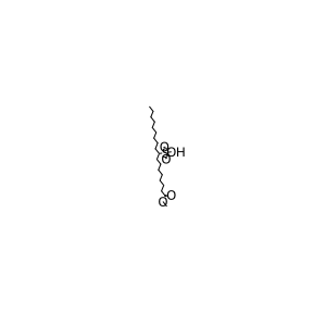 CCCCCCCCCC(CCCCCCCC(=O)OC)S(=O)(=O)O